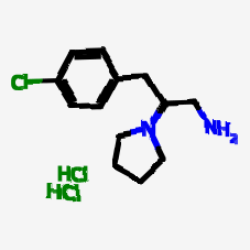 Cl.Cl.NCC(Cc1ccc(Cl)cc1)N1CCCC1